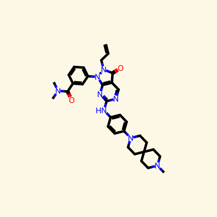 C=CCn1c(=O)c2cnc(Nc3ccc(N4CCC5(CCN(C)CC5)CC4)cc3)nc2n1-c1cccc(C(=O)N(C)C)c1